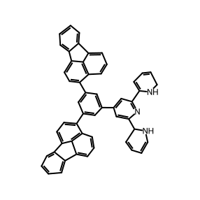 C1=CCNC(c2cc(-c3cc(-c4ccc5c6c(cccc46)-c4ccccc4-5)cc(-c4ccc5c6c(cccc46)-c4ccccc4-5)c3)cc(C3C=CC=CN3)n2)=C1